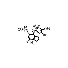 CCOC(=O)Cc1cc(C)c2c(c1OC(C)=C/C(Br)=C(\C)O)CCC2